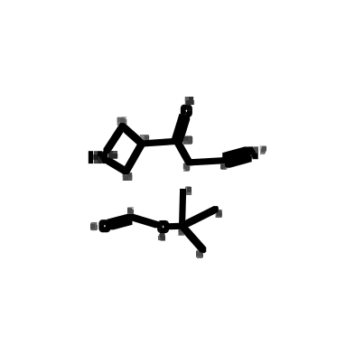 CC(C)(C)OC=O.N#CCC(=O)C1CNC1